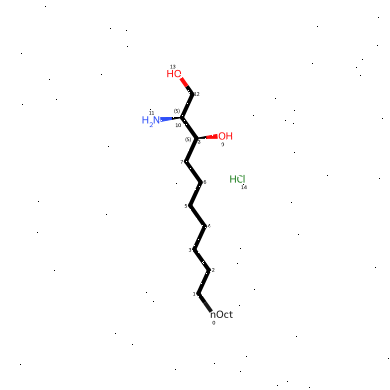 CCCCCCCCCCCCCCC[C@H](O)[C@@H](N)CO.Cl